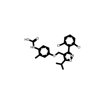 Cc1cc(OCc2c(-c3c(Cl)cccc3Cl)noc2C(C)C)ccc1NC(=O)O